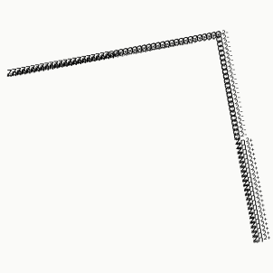 [O-2].[O-2].[O-2].[O-2].[O-2].[O-2].[O-2].[O-2].[O-2].[O-2].[O-2].[O-2].[O-2].[O-2].[O-2].[O-2].[O-2].[O-2].[O-2].[O-2].[O-2].[O-2].[O-2].[O-2].[O-2].[O-2].[O-2].[O-2].[O-2].[O-2].[O-2].[O-2].[O-2].[O-2].[O-2].[O-2].[O-2].[O-2].[O-2].[O-2].[O-2].[O-2].[O-2].[O-2].[O-2].[O-2].[Zn+2].[Zn+2].[Zn+2].[Zn+2].[Zn+2].[Zn+2].[Zn+2].[Zn+2].[Zn+2].[Zn+2].[Zn+2].[Zn+2].[Zn+2].[Zn+2].[Zn+2].[Zn+2].[Zn+2].[Zn+2].[Zn+2].[Zn+2].[Zn+2].[Zn+2].[Zn+2].[Zn+2].[Zn+2].[Zn+2].[Zn+2].[Zn+2].[Zn+2].[Zn+2].[Zn+2].[Zn+2].[Zn+2].[Zn+2].[Zn+2].[Zn+2].[Zn+2].[Zn+2].[Zn+2].[Zn+2].[Zn+2].[Zn+2].[Zn+2].[Zn+2]